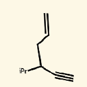 C#C[C](CC=C)C(C)C